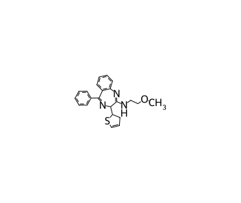 COCCNC1=Nc2ccccc2C(c2ccccc2)=NC1C1CC=CS1